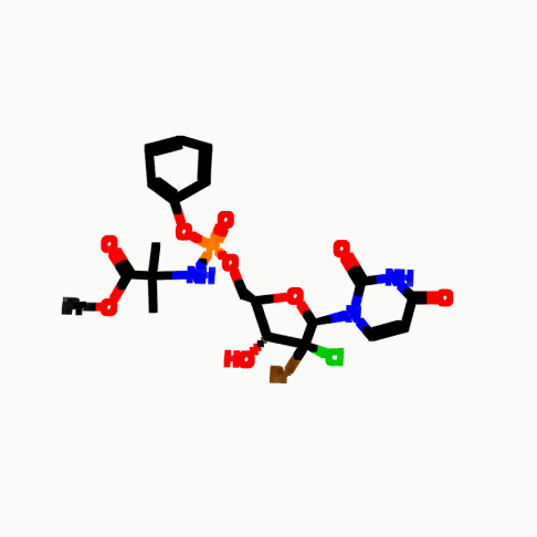 CC(C)OC(=O)C(C)(C)NP(=O)(OC[C@H]1O[C@@H](n2ccc(=O)[nH]c2=O)[C@](Cl)(Br)[C@@H]1O)Oc1ccccc1